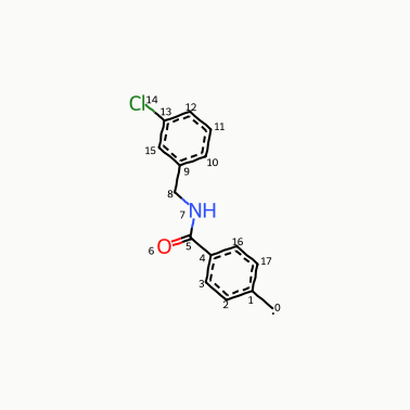 [CH2]c1ccc(C(=O)NCc2cccc(Cl)c2)cc1